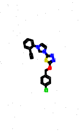 C#Cc1ccccc1N1C=CN(c2nnc(OCc3ccc(Cl)cc3)s2)C1